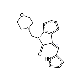 O=C1/C(=C\c2ccc[nH]2)c2ccccc2N1CN1CCOCC1